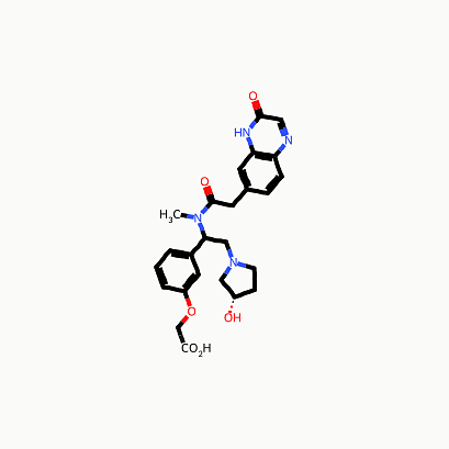 CN(C(=O)Cc1ccc2ncc(=O)[nH]c2c1)C(CN1CC[C@H](O)C1)c1cccc(OCC(=O)O)c1